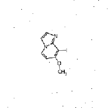 COc1ccn2ccnc2c1I